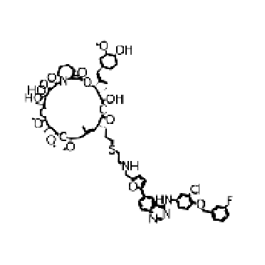 CO[C@H]1C/C(C)=C/[C@@H](CCCSCCNCc2ccc(-c3ccc4ncnc(Nc5ccc(OCc6cccc(F)c6)c(Cl)c5)c4c3)o2)C(=O)C[C@H](O)[C@@H](C)[C@@H](/C(C)=C/[C@@H]2CC[C@@H](O)[C@H](OC)C2)OC(=O)[C@@H]2CCCCN2C(=O)C(=O)C(O)(O)[C@H](C)C[C@H](OC)[C@H](C)[C@@H](OC)C1